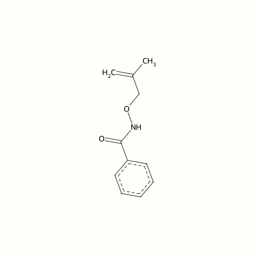 C=C(C)CONC(=O)c1ccccc1